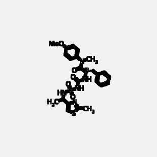 COc1ccc(N(C)C(=O)[C@H](Cc2ccccc2)NC(=O)NS(=O)(=O)NC(C)c2csc(C)n2)cc1